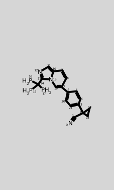 N#CC1(c2ccc(-c3ccc4cnc(C(P)(P)P)n4c3)cc2)CC1